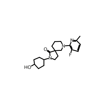 Cc1ccc(F)c(N2CCCC3(CCN(C4CCC(O)CC4)C3=O)C2)n1